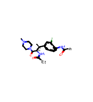 CCCC(=O)Nc1ccc([C@H](C)[C@@H](NC(=O)CC)C(=O)N2CCN(C)CC2)cc1F